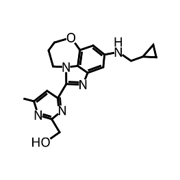 Cc1cc(-c2nc3cc(NCC4CC4)cc4c3n2CCCO4)nc(CO)n1